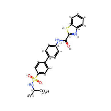 CC(C)[C@@H](NS(=O)(=O)c1ccc(-c2ccc(NC(=O)c3nc4ccccc4s3)cc2)cc1)C(=O)O